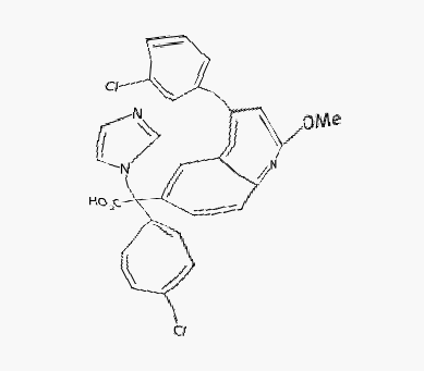 COc1cc(-c2cccc(Cl)c2)c2cc(C(C(=O)O)(c3ccc(Cl)cc3)n3ccnc3)ccc2n1